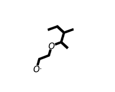 CCC(C)C(C)OCC[O]